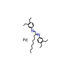 CCCCCCCCC(/C=N/c1ccc(CC)c(CC)c1)=N\c1ccc(CC)c(CC)c1.[Pd]